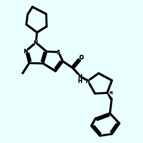 Cc1nn(C2CCCCC2)c2sc(C(=O)NN3CC[C@@H](Cc4ccccc4)C3)cc12